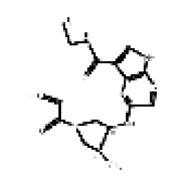 C=CC(=O)N1C[C@H](C)[C@H](Nc2cnc3[nH]cc(C(=O)NCC)c3n2)C1